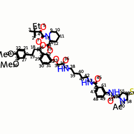 CCC(C)(C)C(=O)C(=O)N1CCCC[C@H]1C(=O)O[C@H](CCc1ccc(OC)c(OC)c1)c1cccc(OCC(=O)NCCCCCNC(=O)c2cccc(NC(=O)[C@@H]3C[C@H](S)CN3C(C)=O)c2)c1